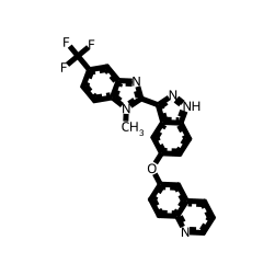 Cn1c(-c2n[nH]c3ccc(Oc4ccc5ncccc5c4)cc23)nc2cc(C(F)(F)F)ccc21